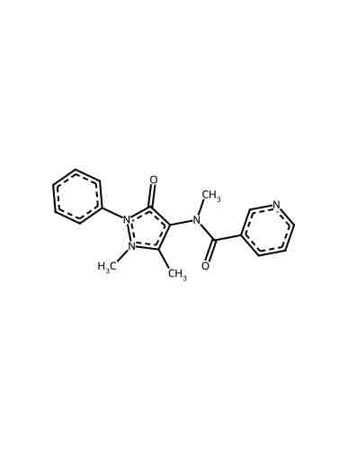 Cc1c(N(C)C(=O)c2cccnc2)c(=O)n(-c2ccccc2)n1C